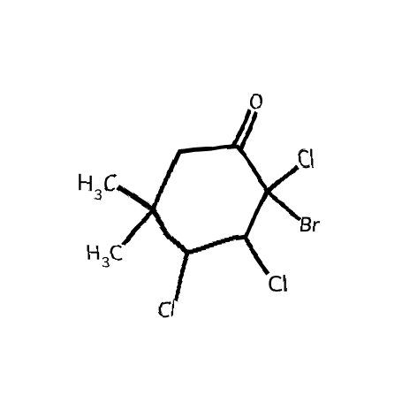 CC1(C)CC(=O)C(Cl)(Br)C(Cl)C1Cl